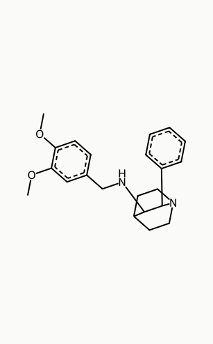 COc1ccc(CNC2C3CCN(CC3)C2c2ccccc2)cc1OC